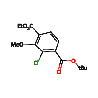 CCOC(=O)c1ccc(C(=O)OC(C)(C)C)c(Cl)c1OC